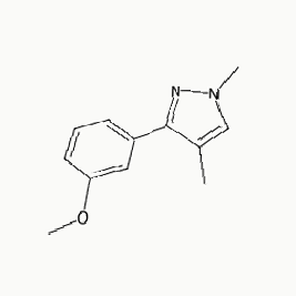 COc1cccc(-c2nn(C)cc2C)c1